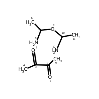 CC(=O)C(C)=O.CC(N)OC(C)N